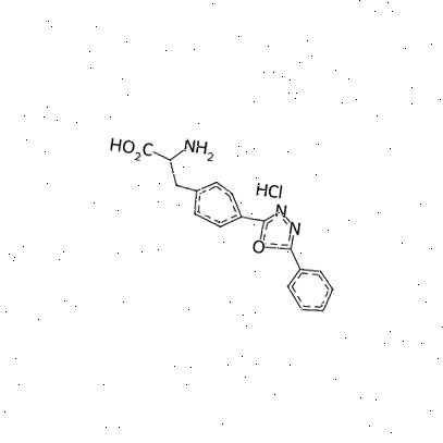 Cl.NC(Cc1ccc(-c2nnc(-c3ccccc3)o2)cc1)C(=O)O